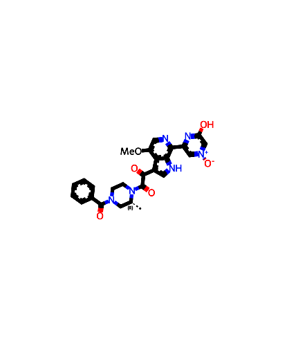 COc1cnc(-c2c[n+]([O-])cc(O)n2)c2[nH]cc(C(=O)C(=O)N3CCN(C(=O)c4ccccc4)C[C@H]3C)c12